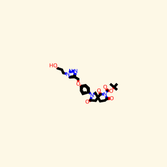 CC(C)(C)OC(=O)N1C(=O)CCC2(CC(=O)N(c3ccc(OCc4cn(CCCO)nn4)cc3)C2)C1=O